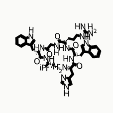 CC(=O)[C@@H](NC(=O)[C@H](Cc1c[nH]c2ccccc12)NC(=O)CNC(=O)[C@H](CCCNC(=N)N)NC(=O)[C@H](Cc1c[nH]c2ccccc12)NC(=O)[C@@H](N)Cc1c[nH]cn1)C(C)C